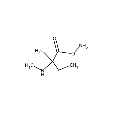 CCC(C)(NC)C(=O)ON